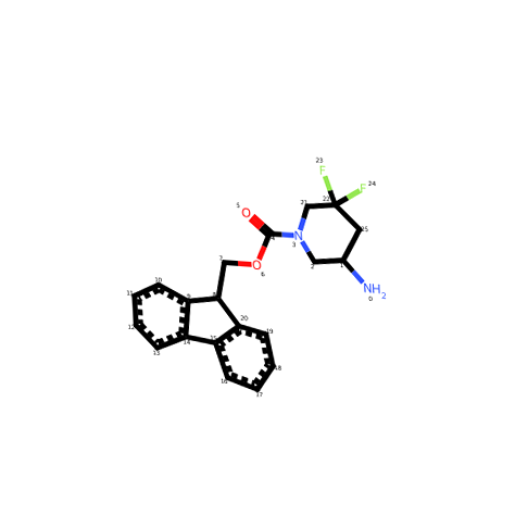 NC1CN(C(=O)OCC2c3ccccc3-c3ccccc32)CC(F)(F)C1